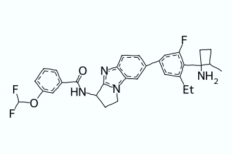 CCc1cc(-c2ccc3nc4n(c3c2)CCC4NC(=O)c2cccc(OC(F)F)c2)cc(F)c1C1(N)CCC1C